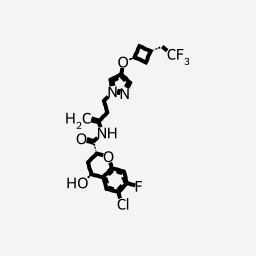 C=C(CCn1cc(O[C@H]2C[C@@H](CC(F)(F)F)C2)cn1)NC(=O)[C@H]1C[C@@H](O)c2cc(Cl)c(F)cc2O1